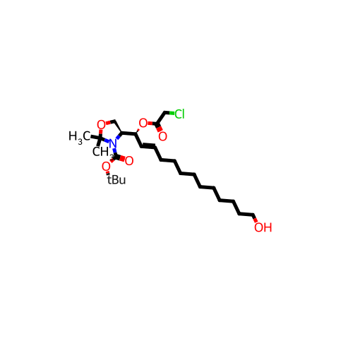 CC(C)(C)OC(=O)N1[C@H]([C@@H](/C=C/CCCCCCCCCCO)OC(=O)CCl)COC1(C)C